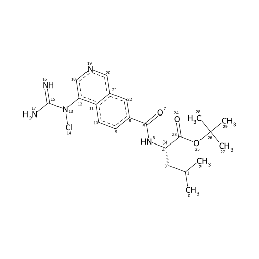 CC(C)C[C@H](NC(=O)c1ccc2c(N(Cl)C(=N)N)cncc2c1)C(=O)OC(C)(C)C